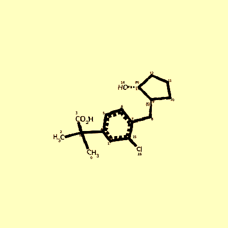 CC(C)(C(=O)O)c1ccc(C[C@@H]2CCC[C@H]2O)c(Cl)c1